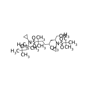 CC(CCC(C)(C)S(=O)(=O)N(C1CC1)C(C)(C)CC(C)(C)C)C[C@@H](CO)N(C1CC1)S(=O)(=O)C(C)(C)C